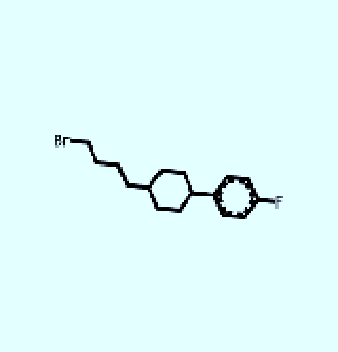 Fc1ccc(C2CCC(CCCCBr)CC2)cc1